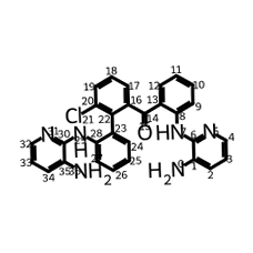 Nc1cccnc1Nc1ccccc1C(=O)c1cccc(Cl)c1-c1ccccc1Nc1ncccc1N